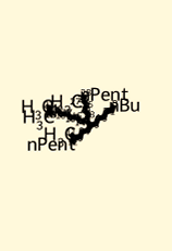 CCCC/C=C/CCCC(CCCC(C)CCCCC)C(CCCCCCN(C)C)CCCC(C)CCCCC